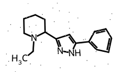 CCN1CCCCC1c1cc(-c2ccccc2)[nH]n1